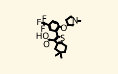 CN1CC[C@H](Oc2ccc(C(F)(F)F)cc2-c2sc3c(c2C(=O)O)CC(C)(C)CC3)C1